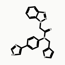 O=C(Cn1nnc2ccccc21)N(Cc1ccsc1)c1ccc(-c2c[nH]cn2)cc1